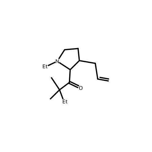 C=CCC1CCN(CC)C1C(=O)C(C)(C)CC